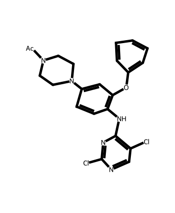 CC(=O)N1CCN(c2ccc(Nc3nc(Cl)ncc3Cl)c(Oc3ccccc3)c2)CC1